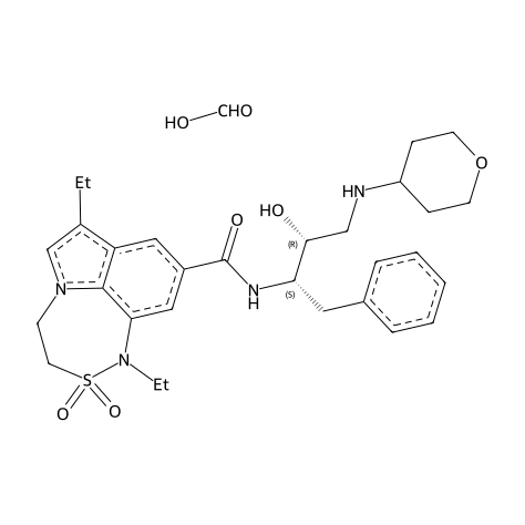 CCc1cn2c3c(cc(C(=O)N[C@@H](Cc4ccccc4)[C@H](O)CNC4CCOCC4)cc13)N(CC)S(=O)(=O)CC2.O=CO